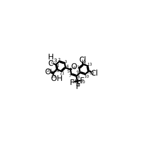 Cc1ccc(C(=O)/C=C(\c2cc(Cl)cc(Cl)c2)C(F)(F)F)cc1C(=O)O